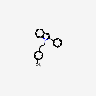 Cc1ccc(CCn2c(-c3ccccc3)cc3ccccc32)cc1